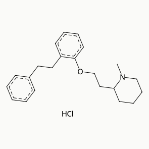 CN1CCCCC1CCOc1ccccc1CCc1ccccc1.Cl